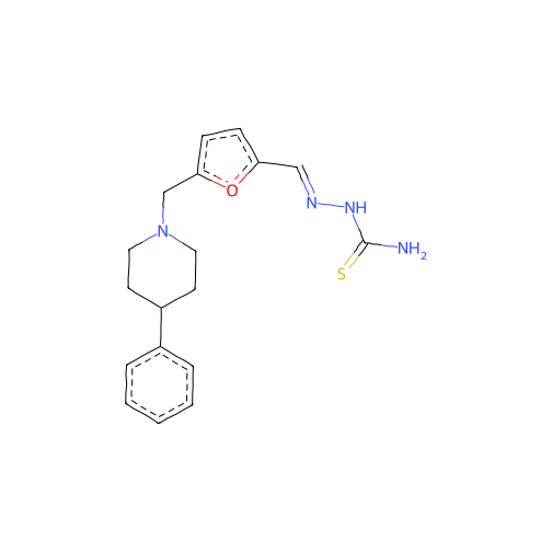 NC(=S)NN=Cc1ccc(CN2CCC(c3ccccc3)CC2)o1